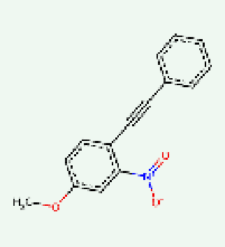 COc1ccc(C#Cc2ccccc2)c([N+](=O)[O-])c1